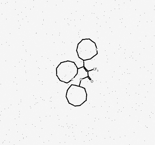 O=C(OC1CCCCCCCCC1)C(=C(C1CCCCCCCCC1)C1CCCCCCCCC1)C(F)(F)F